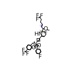 CC[C@@H]1CC=C(C23CC(N(Cc4ccc(C(F)(F)F)cc4)S(=O)(=O)c4ccc(F)cc4)(C2)C3)N[C@@]1(C)C(=O)/C=C/CCC(F)(F)F